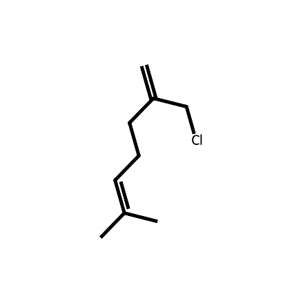 C=C(CCl)CCC=C(C)C